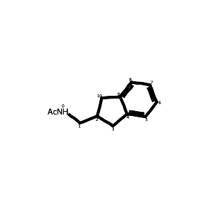 CC(=O)NCC1Cc2ccccc2C1